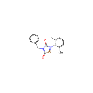 Cc1cccc(C(C)(C)C)c1-n1sc(=O)n(Cc2ccccc2)c1=O